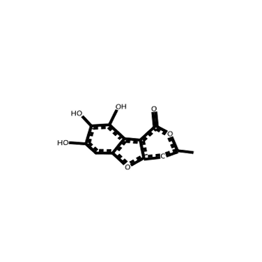 Cc1cc2oc3cc(O)c(O)c(O)c3c2c(=O)o1